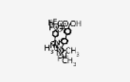 Cc1c(C(C)(F)F)nn(C)c1-c1ccc(-c2ccc(CO)c(S(C)(=O)=O)c2)cc1-n1nncc1-c1ccc(OC(F)(F)F)cc1